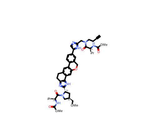 C#CCCN(Cc1ncc(-c2ccc3c(c2)COc2cc4c(cc2-3)CCc2nc([C@@H]3C[C@@H](COC)CN3C(=O)[C@@H](NC(=O)OC)C(C)C)[nH]c2-4)[nH]1)C(=O)[C@@H](NC(=O)OC)C(C)C